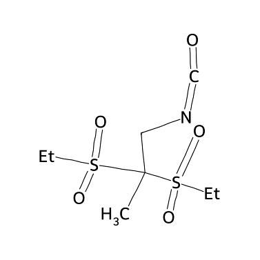 CCS(=O)(=O)C(C)(CN=C=O)S(=O)(=O)CC